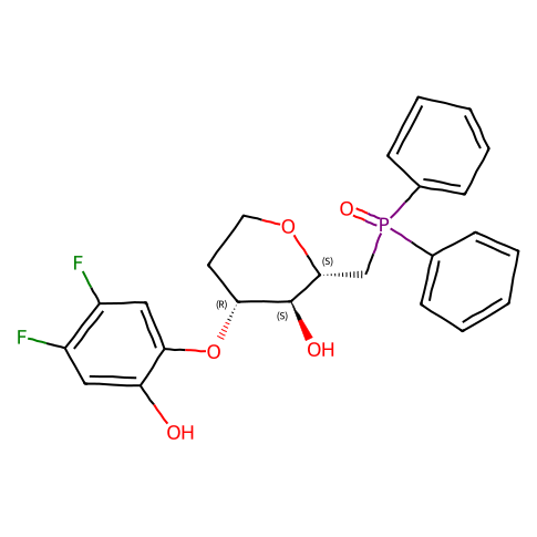 O=P(C[C@H]1OCC[C@@H](Oc2cc(F)c(F)cc2O)[C@@H]1O)(c1ccccc1)c1ccccc1